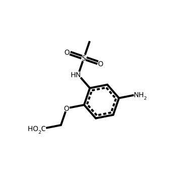 CS(=O)(=O)Nc1cc(N)ccc1OCC(=O)O